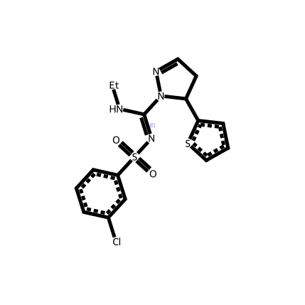 CCN/C(=N\S(=O)(=O)c1cccc(Cl)c1)N1N=CCC1c1cccs1